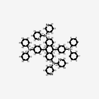 c1ccc(N(c2ccccc2)c2ccc(-c3c4ccc(N(c5cccnc5)c5ccccn5)cc4c(-c4ccc(N(c5ccccc5)c5ccccc5)cc4)c4ccc(N(c5cccnc5)c5ccccn5)cc34)cc2)cc1